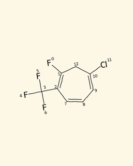 FC1=C(C(F)(F)F)C=CC=C(Cl)C1